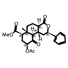 COC(=O)[C@@H]1C[C@H](OC(C)=O)C(=O)[C@@H]2[C@H]3C[C@H](c4ccccc4)OC(=O)[C@@H]3CC[C@]21C